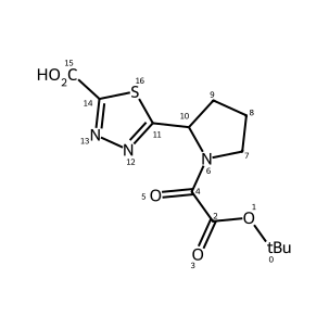 CC(C)(C)OC(=O)C(=O)N1CCCC1c1nnc(C(=O)O)s1